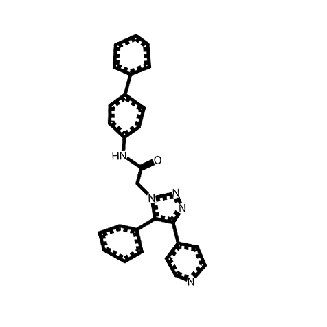 O=C(Cn1nnc(-c2ccncc2)c1-c1ccccc1)Nc1ccc(-c2ccccc2)cc1